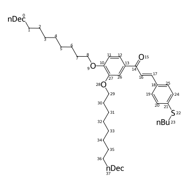 CCCCCCCCCCCCCCCCCCOc1ccc(C(=O)C=Cc2ccc(SCCCC)cc2)cc1OCCCCCCCCCCCCCCCCCC